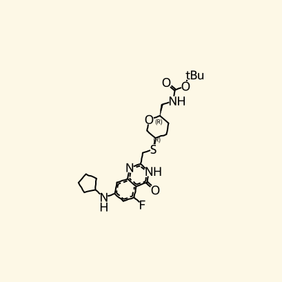 CC(C)(C)OC(=O)NC[C@H]1CC[C@@H](SCc2nc3cc(NC4CCCC4)cc(F)c3c(=O)[nH]2)CO1